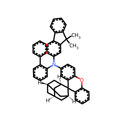 CC1(C)c2ccccc2-c2ccc(N(c3ccc4c(c3)C3(c5ccccc5O4)[C@H]4C[C@@H]5C[C@@H](C[C@@H]3C5)C4)c3ccccc3-c3ccccc3)cc21